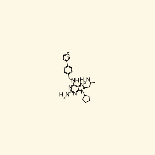 CC(N)Cc1nc2c(NCc3ccc(-c4ccsc4)cc3)nc(N)nc2n1C1CCCC1